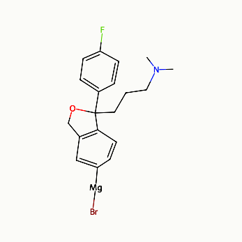 CN(C)CCCC1(c2ccc(F)cc2)OCc2c[c]([Mg][Br])ccc21